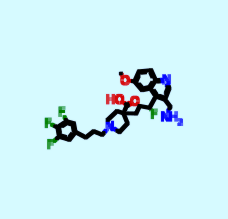 COc1ccc2ncc(CN)c([C@H](F)CCC3(C(=O)O)CCN(CCCc4cc(F)c(F)c(F)c4)CC3)c2c1